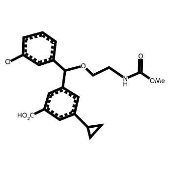 COC(=O)NCCOC(c1cccc(Cl)c1)c1cc(C(=O)O)cc(C2CC2)c1